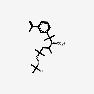 C=C(C)c1cccc(C(C)(C)N(C(=O)O)C(C)CC(C)(C)OOC(C)(C)CC)c1